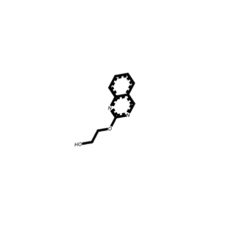 OCCOc1n[c]c2ccccc2n1